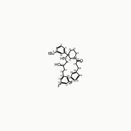 CC(C)(C)c1cccc(C2(NCC(O)CCc3cc(F)cc(F)c3)CCCN(C(=O)CCc3ccccc3)C2)c1